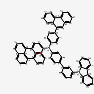 c1ccc(-c2cccc3cccc(-c4ccc(N(c5ccc(-c6cccc(-n7c8ccccc8c8ccccc87)c6)cc5)c5ccc(-c6cc7ccccc7c7ccccc67)cc5)cc4)c23)cc1